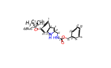 CC(C)(C)[Si](C)(C)Oc1ccc2cc(CNC(=O)OCc3ccccc3)[nH]c2c1